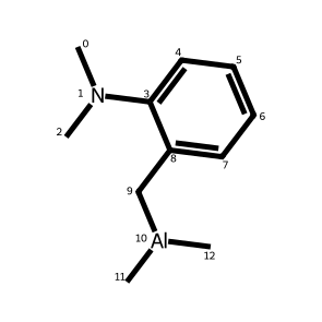 CN(C)c1ccccc1[CH2][Al]([CH3])[CH3]